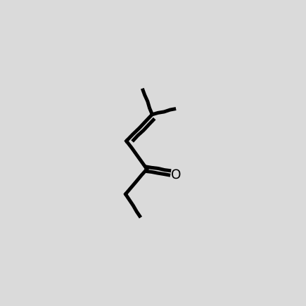 CCC(=O)C=C(C)C